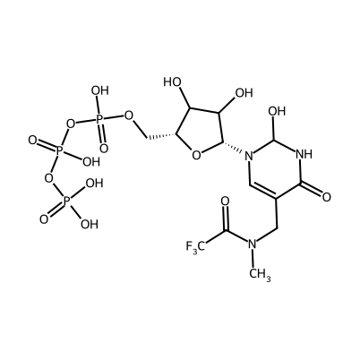 CN(CC1=CN([C@@H]2O[C@H](COP(=O)(O)OP(=O)(O)OP(=O)(O)O)C(O)C2O)C(O)NC1=O)C(=O)C(F)(F)F